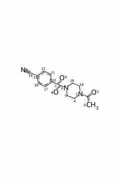 CC(=O)N1CCN(S(=O)(=O)c2ccc(C#N)cc2)CC1